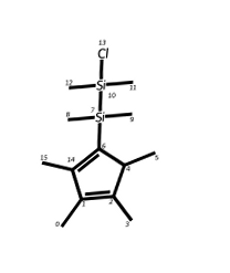 CC1=C(C)C(C)C([Si](C)(C)[Si](C)(C)Cl)=C1C